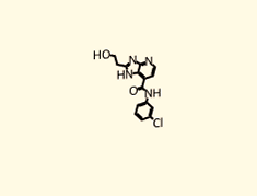 O=C(Nc1cccc(Cl)c1)c1ccnc2nc(CCO)[nH]c12